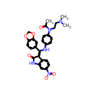 CC(=O)N(CCN(C)C)c1ccc(NC(=C2C(=O)Nc3cc([N+](=O)[O-])ccc32)c2ccc3c(c2)OCO3)cc1